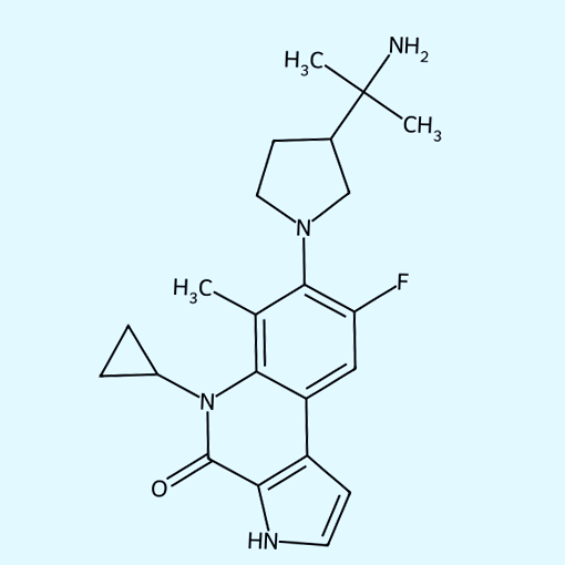 Cc1c(N2CCC(C(C)(C)N)C2)c(F)cc2c3cc[nH]c3c(=O)n(C3CC3)c12